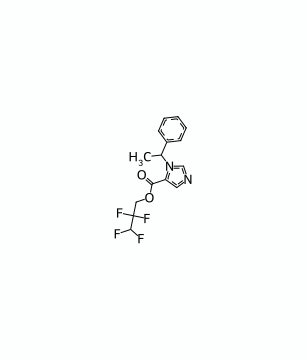 CC(c1ccccc1)n1cncc1C(=O)OCC(F)(F)C(F)F